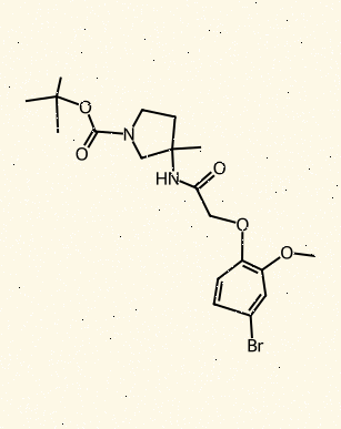 COc1cc(Br)ccc1OCC(=O)NC1(C)CCN(C(=O)OC(C)(C)C)C1